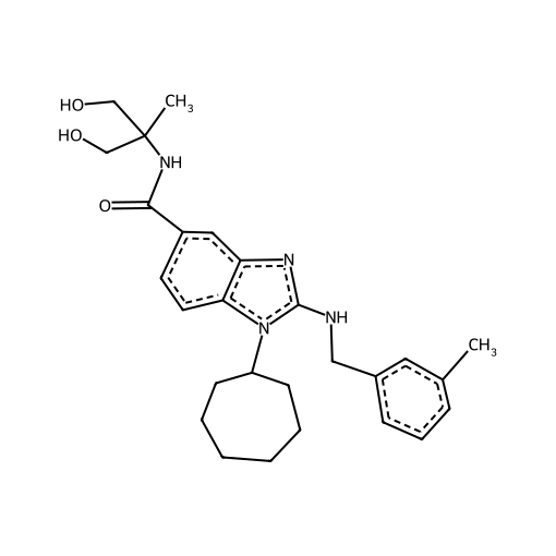 Cc1cccc(CNc2nc3cc(C(=O)NC(C)(CO)CO)ccc3n2C2CCCCCC2)c1